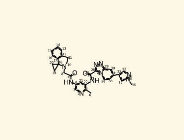 Cc1ncc(NC(=O)CN2CCc3ccccc3C23CC3)cc1NC(=O)c1nnc2cc(-c3cnn(C)c3)ccn12